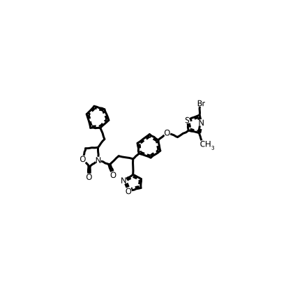 Cc1nc(Br)sc1COc1ccc(C(CC(=O)N2C(=O)OCC2Cc2ccccc2)c2ccon2)cc1